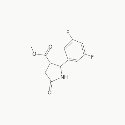 COC(=O)C1CC(=O)NC1c1cc(F)cc(F)c1